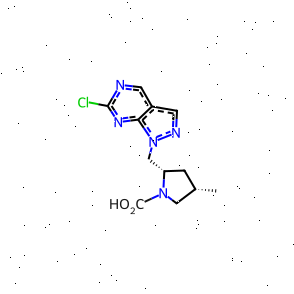 C[C@H]1C[C@@H](Cn2ncc3cnc(Cl)nc32)N(C(=O)O)C1